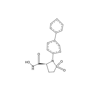 O=C(NO)[C@@H]1CCS(=O)(=O)N1c1ccc(-c2ccccc2)cc1